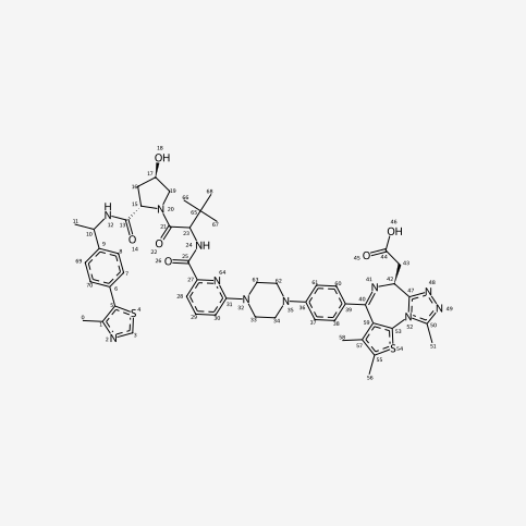 Cc1ncsc1-c1ccc(C(C)NC(=O)[C@@H]2C[C@@H](O)CN2C(=O)C(NC(=O)c2cccc(N3CCN(c4ccc(C5=N[C@@H](CC(=O)O)c6nnc(C)n6-c6sc(C)c(C)c65)cc4)CC3)n2)C(C)(C)C)cc1